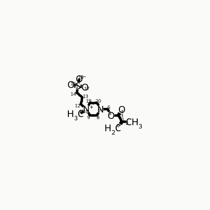 C=C(C)C(=O)OCN1CC[N+](C)(CCCS(=O)(=O)[O-])CC1